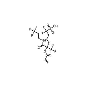 C=CC(=O)OC(OCCC(F)(F)S(=O)(=O)O)(C(=O)NCCC(F)(F)F)C(F)(F)F